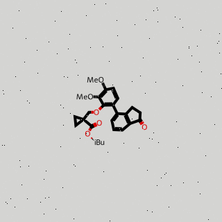 CC[C@@H](C)OC(=O)C1(COc2c(-c3cccc4c3CCC4=O)ccc(OC)c2OC)CC1